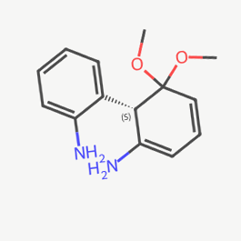 COC1(OC)C=CC=C(N)[C@@H]1c1ccccc1N